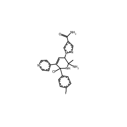 CC1(N)NC(Cl)(c2ccc(F)cc2)C(c2ccncc2)=CC1n1cc(C(N)=O)cn1